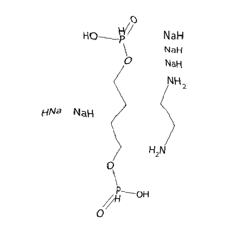 NCCN.O=[PH](O)OCCCCO[PH](=O)O.[NaH].[NaH].[NaH].[NaH].[NaH]